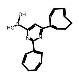 OB(O)c1cc(C2=C/CC/C=C/C=C\2)nc(C2=CC=CCC=C2)n1